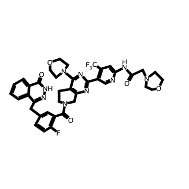 O=C(CN1C[CH]OCC1)Nc1cc(C(F)(F)F)c(-c2nc3c(c(N4CCOCC4)n2)CCN(C(=O)c2cc(Cc4n[nH]c(=O)c5ccccc45)ccc2F)C3)cn1